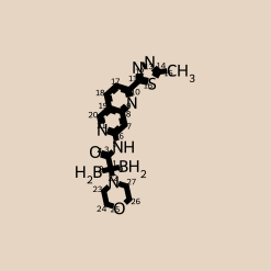 BC(B)(C(=O)Nc1cc2nc(-c3nnc(C)s3)ccc2cn1)N1CCOCC1